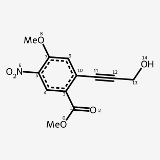 COC(=O)c1cc([N+](=O)[O-])c(OC)cc1C#CCO